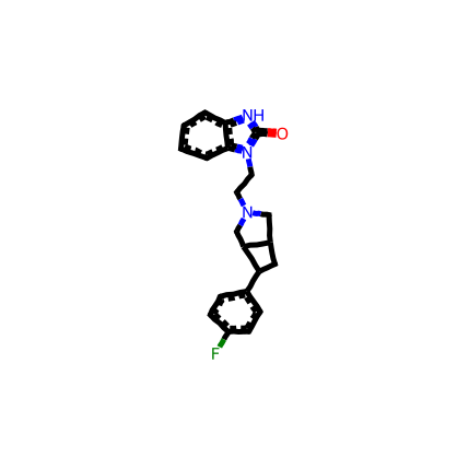 O=c1[nH]c2ccccc2n1CCN1CC2CC(c3ccc(F)cc3)C2C1